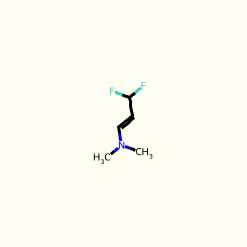 CN(C)C=CC(F)F